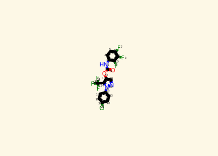 O=C(Nc1ccc(F)c(F)c1F)Oc1cnn(-c2ccc(Cl)cc2)c1C(F)(F)F